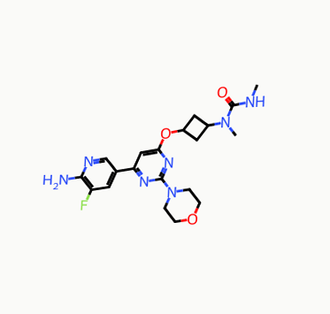 CNC(=O)N(C)C1CC(Oc2cc(-c3cnc(N)c(F)c3)nc(N3CCOCC3)n2)C1